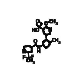 COc1ncc(-c2cc(NC(=O)c3ccnc(C(C)(F)F)c3)ccc2C)cc1C1(O)COC1